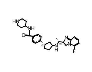 C[C@@H](NC1CC[C@H](c2ccc(C(=O)NC3CCNCC3)cc2)C1)C1CN2C(F)=CC=CC2=N1